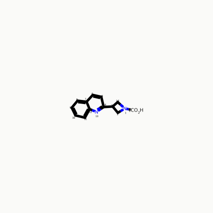 O=C(O)N1CC(c2ccc3ccccc3n2)C1